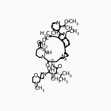 CCn1c(-c2cccnc2[C@H](C)OC)c2c3cc(ccc31)-c1csc(n1)C[C@H](NC(=O)[C@H](C(C)C)N(C)C(=O)N1CC3(CN(C)CCO3)C1)C(=O)N1CCC[C@H]([SiH2]N1)C(=O)OCC(C)(C)C2